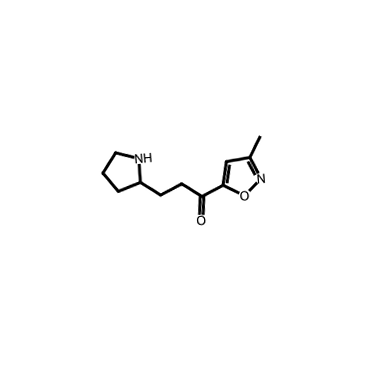 Cc1cc(C(=O)CCC2CCCN2)on1